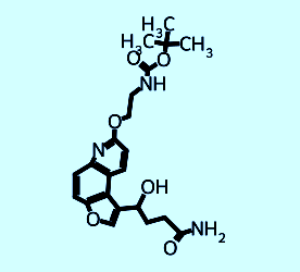 CC(C)(C)OC(=O)NCCOc1ccc2c(ccc3occ(C(O)CCC(N)=O)c32)n1